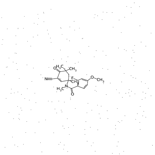 COc1ccc(C(=O)N(C)[C@]2(C)C=C(C#N)C(=O)C(C)(C)C2)c(F)c1